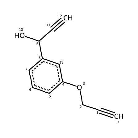 C#CCOc1cccc(C(O)C#C)c1